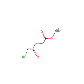 CCCCOC(=O)CCC(=O)CBr